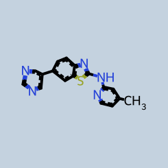 Cc1ccnc(Nc2nc3ccc(-c4cncnc4)cc3s2)c1